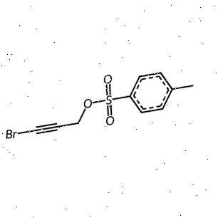 Cc1ccc(S(=O)(=O)OCC#CBr)cc1